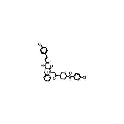 O=C(C=Cc1ccc(Cl)cc1)N[C@@H](Cc1ccccn1)C(=O)NCC(=O)N1CCC(S(=O)(=O)c2ccc(Cl)cc2)CC1